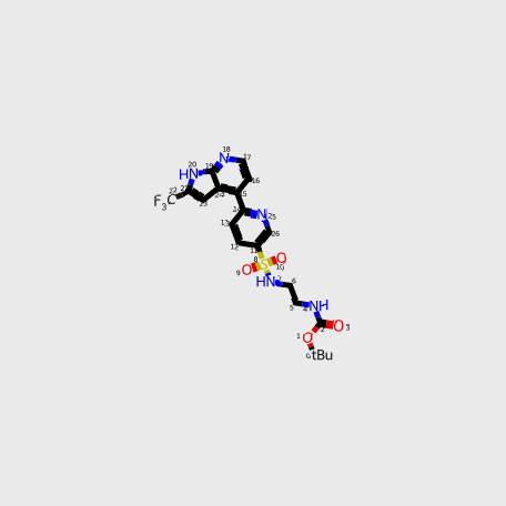 CC(C)(C)OC(=O)NCCNS(=O)(=O)c1ccc(-c2ccnc3[nH]c(C(F)(F)F)cc23)nc1